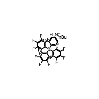 CCCC[NH3+].Oc1ccccc1[B-](c1c(F)c(F)c(F)c(F)c1F)(c1c(F)c(F)c(F)c(F)c1F)c1c(F)c(F)c(F)c(F)c1F